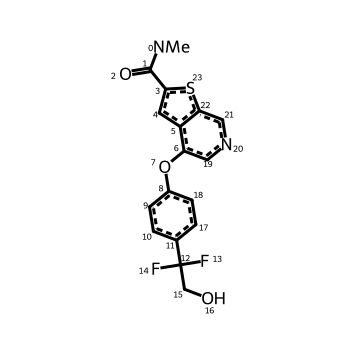 CNC(=O)c1cc2c(Oc3ccc(C(F)(F)CO)cc3)cncc2s1